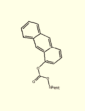 CCCCCOC(=O)Oc1cccc2cc3ccccc3cc12